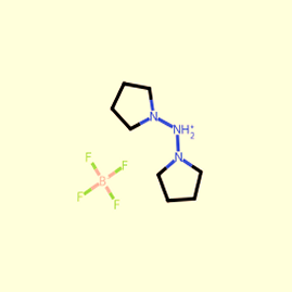 C1CCN([NH2+]N2CCCC2)C1.F[B-](F)(F)F